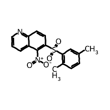 Cc1ccc(C)c(S(=O)(=O)c2ccc3ncccc3c2[N+](=O)[O-])c1